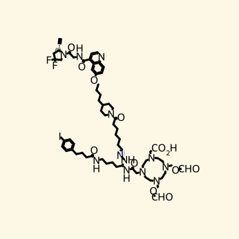 C#C[C@H]1CC(F)(F)CN1C(=O)CNC(=O)c1ccnc2ccc(OCCCCC3CCN(C(=O)CCCCC/C=N/NC(CCCCNC(=O)CCCc4ccc(I)cc4)NC(=O)CN4CCN(COC=O)CCN(COC=O)CCN(CC(=O)O)CC4)CC3)cc12